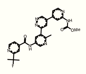 COC(=O)Nc1cc(-c2cnnc(-c3cc(NC(=O)c4ccnc(C(C)(C)F)c4)cnc3C)c2)ccn1